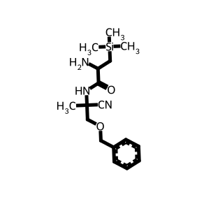 CC(C#N)(COCc1ccccc1)NC(=O)C(N)C[Si](C)(C)C